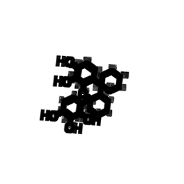 Oc1ccc(C23CCCCC2C2(CCCCC2)c2ccc(O)c(O)c2O3)c(O)c1O